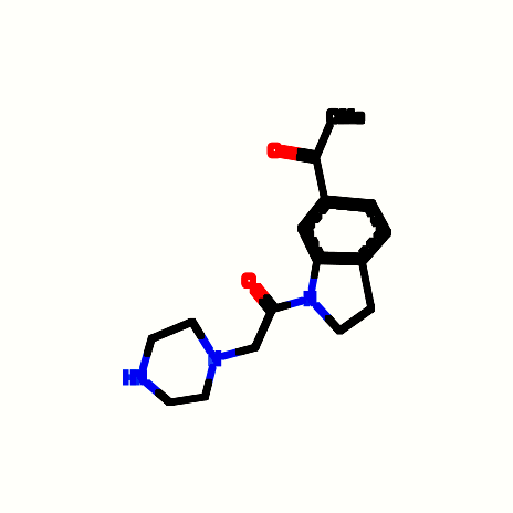 COC(=O)c1ccc2c(c1)N(C(=O)CN1CCNCC1)CC2